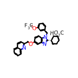 O=C(O)[C@@H]1CCCC[C@@H]1c1nc2cc(OCc3ccc4ccccc4n3)ccc2n1Cc1cccc(OC(F)(F)F)c1